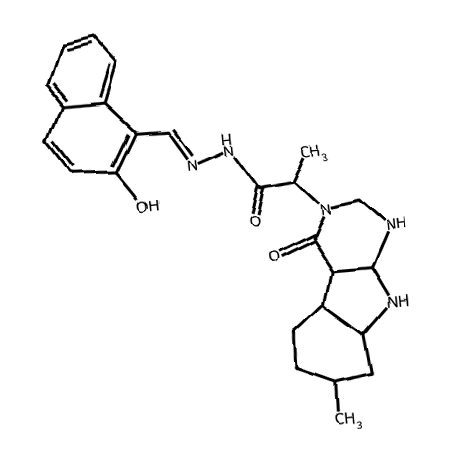 CC1CCC2C(C1)NC1NCN(C(C)C(=O)N/N=C/c3c(O)ccc4ccccc34)C(=O)C12